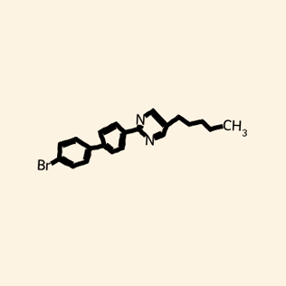 CCCCCc1cnc(-c2ccc(-c3ccc(Br)cc3)cc2)nc1